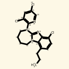 CC[CH]c1ccc(Cl)c2nc3n(c12)CCCCN3c1ncc(Cl)cc1Cl